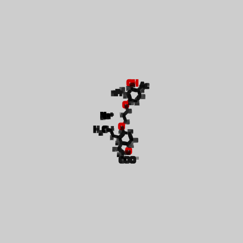 C=CCc1c(OCCCOc2ccc(C(C)=O)c(O)c2CCC)ccc2oc(C(=O)[O-])cc12.[Na+]